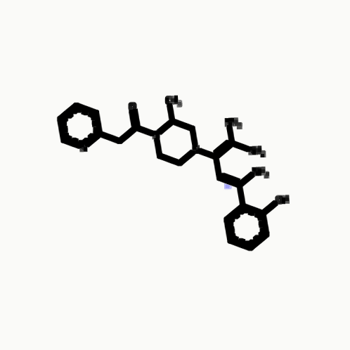 CC1CN(C(/C=C(\N)c2ccccc2O)=C(N)N)CCN1C(=O)Cc1ccccn1